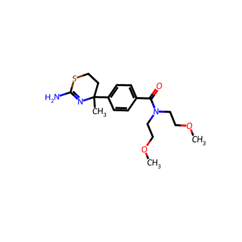 COCCN(CCOC)C(=O)c1ccc(C2(C)CCSC(N)=N2)cc1